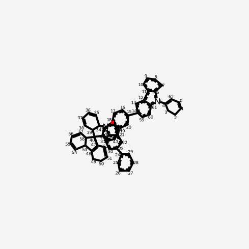 C1=CCCC(n2c3ccccc3c3cc(-c4ccc5c(c4)c4cc(-c6ccccc6)ccc4n5C4C=CC=CC4C4(c5ccccc5)C5=C(CCC=C5)C5C=CC=CC54)ccc32)=C1